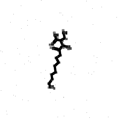 CCCCCCCCCC(=O)N(P)C(CO)C(=O)O